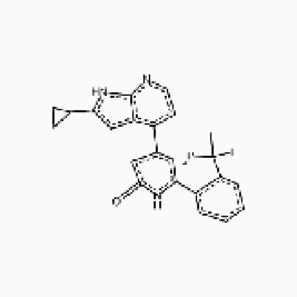 CC(P)(I)c1ccccc1-c1cc(-c2ccnc3[nH]c(C4CC4)cc23)cc(=O)[nH]1